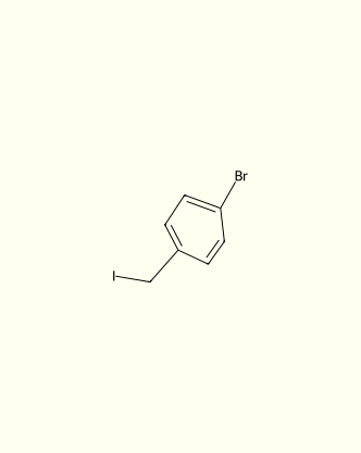 Brc1ccc(CI)cc1